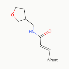 CCCCCC=CC(=O)NCC1CCOC1